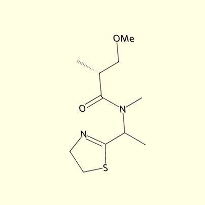 COC[C@@H](C)C(=O)N(C)C(C)C1=NCCS1